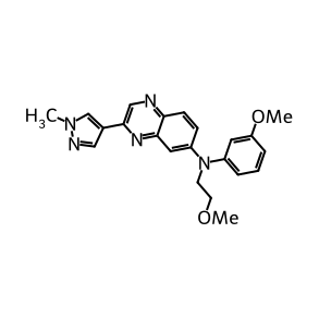 COCCN(c1cccc(OC)c1)c1ccc2ncc(-c3cnn(C)c3)nc2c1